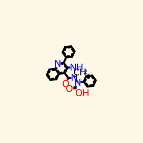 CN(C(=O)c1c(N)c(-c2ccccc2)nc2ccccc12)N(C(=O)O)c1ccccc1